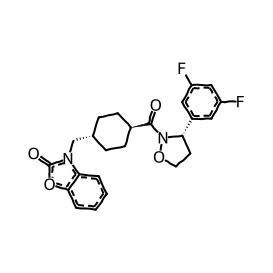 O=c1oc2ccccc2n1C[C@H]1CC[C@H](C(=O)N2OCC[C@H]2c2cc(F)cc(F)c2)CC1